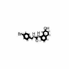 O=C(NCc1ccc(Br)cc1)Nc1cccc2c1CC(O)CC2